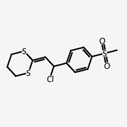 CS(=O)(=O)c1ccc(C(Cl)C=C2SCCCS2)cc1